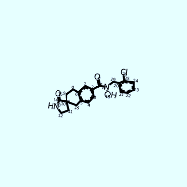 O=C(c1ccc2c(c1)CC[C@]1(CCNC1=O)C2)N(O)Cc1ccccc1Cl